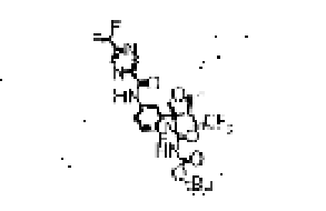 C[C@H]1OCC2(c3cc(NC(=O)c4cnc(C(F)F)cn4)ccc3F)N=C(NC(=O)OC(C)(C)C)O[C@H](C(F)(F)F)C12